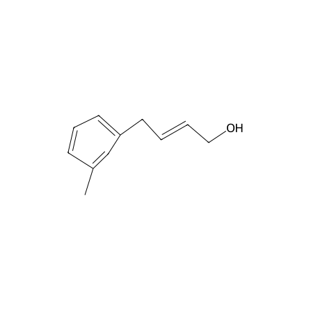 Cc1cccc(CC=CCO)c1